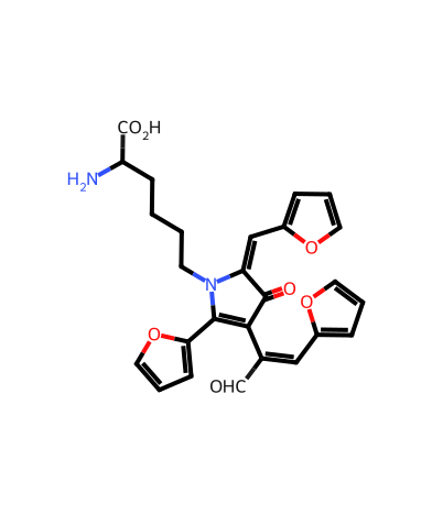 NC(CCCCN1C(c2ccco2)=C(/C(C=O)=C\c2ccco2)C(=O)/C1=C\c1ccco1)C(=O)O